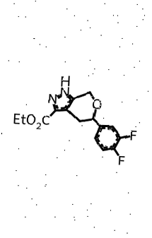 CCOC(=O)c1n[nH]c2c1CC(c1ccc(F)c(F)c1)OC2